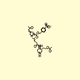 CC(=O)OCCC1CNCCN1NC(=O)CCSC[C@@H]1C[C@H](SC(C)=O)CN1C(=O)OCc1ccc([N+](=O)[O-])cc1